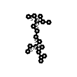 c1ccc(-c2ccc(-c3nc(-c4cccc5c4sc4ccccc45)cc(-c4cccc5c4sc4ccc(-c6ccc7sc8c(-c9cc(-c%10cccc%11c%10sc%10ccccc%10%11)nc(-c%10ccc(-c%11cc%12ccccc%12c%12ccccc%11%12)cc%10-c%10ccccc%10)n9)cccc8c7c6)cc45)n3)c(-c3ccccc3)c2)cc1